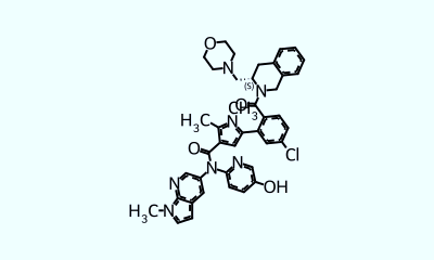 Cc1c(C(=O)N(c2cnc3c(ccn3C)c2)c2ccc(O)cn2)cc(-c2cc(Cl)ccc2C(=O)N2Cc3ccccc3C[C@H]2CN2CCOCC2)n1C